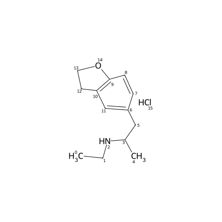 CCNC(C)Cc1ccc2c(c1)CCO2.Cl